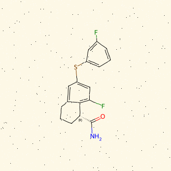 NC(=O)[C@@H]1CCCc2cc(Sc3cccc(F)c3)cc(F)c21